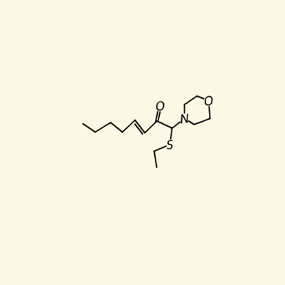 CCCCC=CC(=O)C(SCC)N1CCOCC1